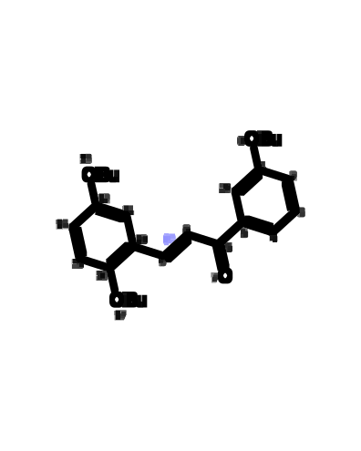 CC(C)COc1cccc(C(=O)/C=C/c2cc(OCC(C)C)ccc2OCC(C)C)c1